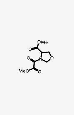 COC(=O)C(=O)N1COCC1C(=O)OC